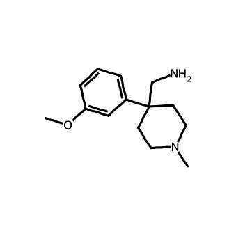 COc1cccc(C2(CN)CCN(C)CC2)c1